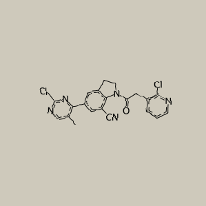 Cc1cnc(Cl)nc1-c1cc(C#N)c2c(c1)CCN2C(=O)Cc1cccnc1Cl